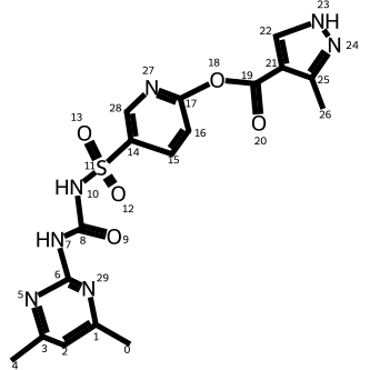 Cc1cc(C)nc(NC(=O)NS(=O)(=O)c2ccc(OC(=O)c3c[nH]nc3C)nc2)n1